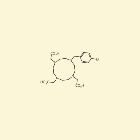 CCc1ccc(CN2CCN(CC(=O)O)CCN(CC(=O)O)CCN(CC(=O)O)CC2)cc1